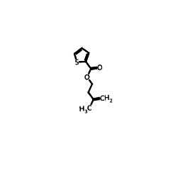 C=C(C)CCOC(=O)c1cccs1